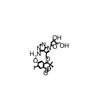 COc1cc([C@@H](OCc2cn([C@H]3C[C@@H](O)[C@@H](CO)O3)c3ncnc(N)c23)C(C)(C)C)c([N+](=O)[O-])cc1I